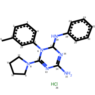 Cc1cccc(N2C(N3CCCC3)=NC(N)=NC2Nc2ccccc2)c1.Cl